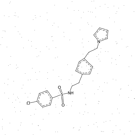 O=S(=O)(NCCc1ccc(CCn2cccc2)cc1)c1ccc(Cl)cc1